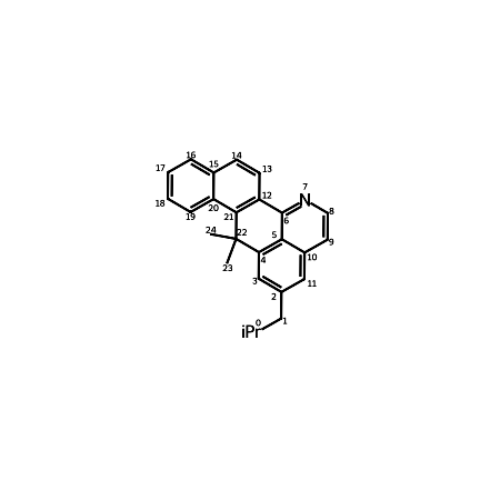 CC(C)Cc1cc2c3c(nccc3c1)-c1ccc3ccccc3c1C2(C)C